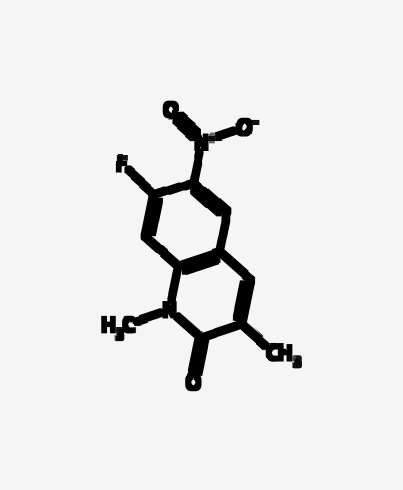 Cc1cc2cc([N+](=O)[O-])c(F)cc2n(C)c1=O